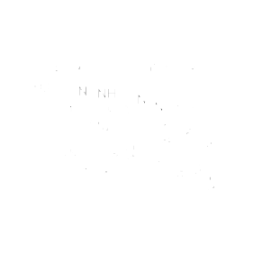 O=C(NN1CCOCC1)c1nn(-c2ccccc2Cl)c(-c2ccc(Cl)cc2)c1OC1CCSCC1